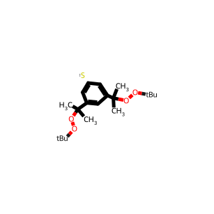 CC(C)(C)OOC(C)(C)c1cccc(C(C)(C)OOC(C)(C)C)c1.[S]